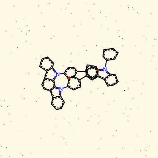 c1ccc(-c2ccc(-n3c4ccccc4c4ccc5c6ccccc6n(-c6ccc(-c7ccc8c(c7)c7ccccc7n8-c7ccccc7)cc6)c5c43)cc2)cc1